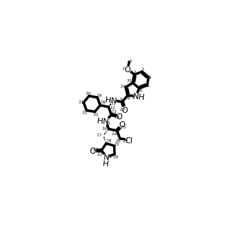 COc1cccc2[nH]c(C(=O)N[C@H](C(=O)N[C@@H](C[C@@H]3CCNC3=O)C(=O)CCl)C3CCCCC3)cc12